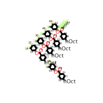 CCCCCCCCc1ccc(C(=O)Oc2ccc([S])c(F)c2)cc1.CCCCCCCCc1ccc(C(=O)Oc2ccc([S])c(F)c2)cc1.CCCCCCCCc1ccc(C(=O)Oc2ccc([S])c(F)c2)cc1.CCCCCCCCc1ccc(C(=O)Oc2ccc([S])c(F)c2)cc1.CCCCCCCCc1ccc(C(=O)Oc2ccc([S])c(F)c2)cc1.F.F.F.F.F